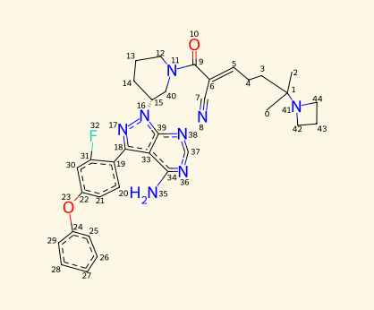 CC(C)(CC/C=C(\C#N)C(=O)N1CCC[C@@H](n2nc(-c3ccc(Oc4ccccc4)cc3F)c3c(N)ncnc32)C1)N1CCC1